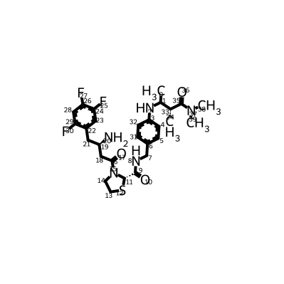 CC(Nc1ccc(CNC(=O)[C@@H]2SCCN2C(=O)C[C@H](N)Cc2cc(F)c(F)cc2F)cc1)[C@@H](C)C(=O)N(C)C